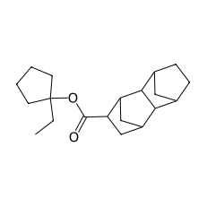 CCC1(OC(=O)C2CC3CC2C2C4CCC(C4)C32)CCCC1